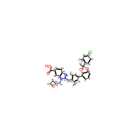 Cc1cc(-c2cccc3c2OC(C)(c2ccc(Cl)cc2F)O3)cc(F)c1Cc1nc2ccc(C(=O)O)cc2n1C[C@@H]1CCO1